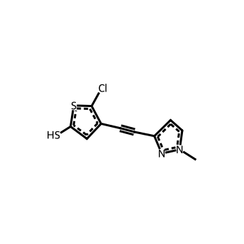 Cn1ccc(C#Cc2cc(S)sc2Cl)n1